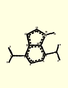 CC(C)c1ccc(C(C)C)c2c1ccn2C